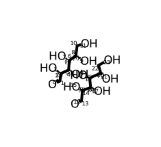 O=C[C@@H](O)[C@@H](O)[C@H](O)[C@H](O)CO.O=C[C@H](O)[C@@H](O)[C@@H](O)[C@H](O)CO